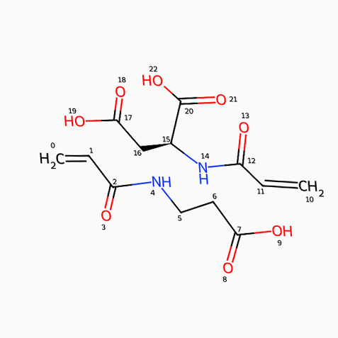 C=CC(=O)NCCC(=O)O.C=CC(=O)N[C@@H](CC(=O)O)C(=O)O